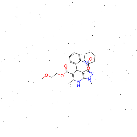 COCCOC(=O)C1=C(C)Nc2c(c(C3CCCCC3)nn2C)C1c1ccccc1[N+](=O)[O-]